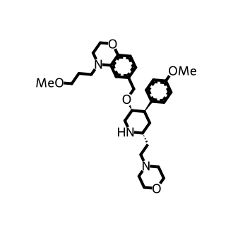 COCCCN1CCOc2ccc(CO[C@H]3CN[C@@H](CCN4CCOCC4)C[C@@H]3c3ccc(OC)cc3)cc21